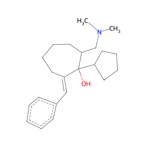 CN(C)CC1CCCCC(=Cc2ccccc2)C1(O)C1CCCC1